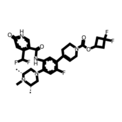 C[C@@H]1CN(c2cc(F)c(C3=CCN(C(=O)OC4CC(F)(F)C4)CC3)cc2NC(=O)c2c[nH]c(=O)cc2C(F)F)C[C@H](C)N1C